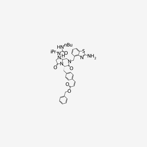 CCCCNC(=O)N(C(C)C)N1CC(=O)N2[C@@H](Cc3ccc(/C=C\C(=O)OCc4ccccc4)cc3)C(=O)N(Cc3cccc4sc(N)nc34)C[C@@H]21